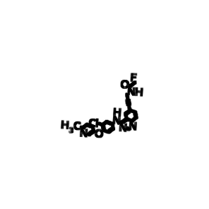 Cc1ccc(Oc2ccc(Nc3ncnc4ccc(C#CCNC(=O)CF)cc34)cc2Cl)cn1